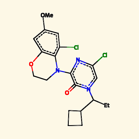 CCC(C1CCC1)n1cc(Cl)nc(N2CCOc3cc(OC)cc(Cl)c32)c1=O